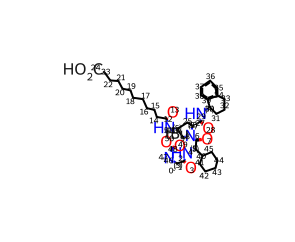 C[C@@H](C(=O)N[C@H](C(=O)N1C[C@@H](NC(=O)CCCCCCCCCCC(=O)O)C[C@H]1C(=O)N[C@@H]1CCCc2ccccc21)C1CCCCC1)N(C)C(=O)OC(C)(C)C